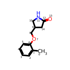 Cc1ccccc1OCC1CNC(=O)C1